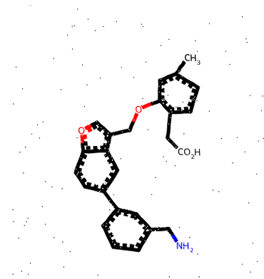 Cc1ccc(CC(=O)O)c(OCc2coc3ccc(-c4cccc(CN)c4)cc23)c1